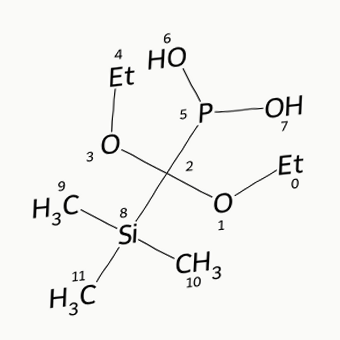 CCOC(OCC)(P(O)O)[Si](C)(C)C